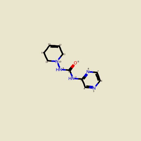 O=C(Nc1cnccn1)NN1CC=CCC1